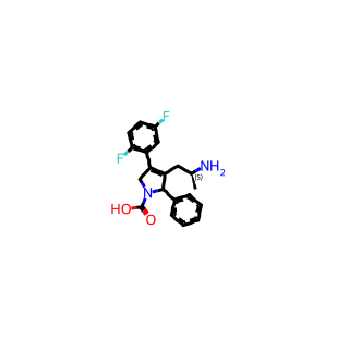 C[C@H](N)CC1=C(c2cc(F)ccc2F)CN(C(=O)O)C1c1ccccc1